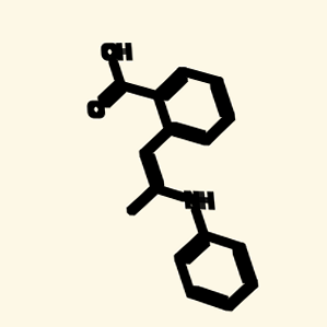 C/C(=C/c1ccccc1C(=O)O)Nc1ccccc1